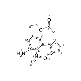 CCOC(C)=O.Nc1nccc(-c2cccs2)c1[N+](=O)[O-]